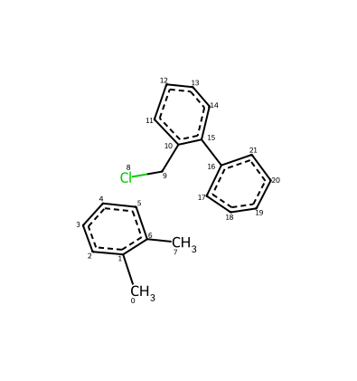 Cc1ccccc1C.ClCc1ccccc1-c1ccccc1